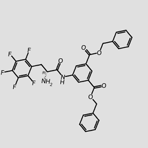 N[C@H](Cc1c(F)c(F)c(F)c(F)c1F)C(=O)Nc1cc(C(=O)OCc2ccccc2)cc(C(=O)OCc2ccccc2)c1